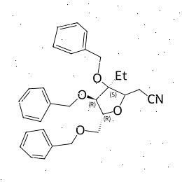 CC[C@]1(OCc2ccccc2)C(CC#N)O[C@H](COCc2ccccc2)[C@H]1OCc1ccccc1